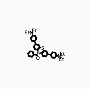 CCN(CC)c1ccc(-c2ccc3c(c2)Sc2cc(-c4ccc(N(CC)CC)cc4)ccc2N3C(=O)c2ccccc2)cc1